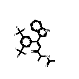 CC(=O)NC(C)C(=O)C=C(c1cc(C(F)(F)F)cc(C(F)(F)F)c1)c1c[nH]c2ccccc12